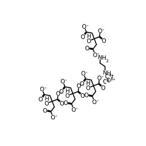 NCCN.O=C([O-])CC(O)(CC(=O)[O-])C(=O)[O-].O=C([O-])CC(O)(CC(=O)[O-])C(=O)[O-].O=C([O-])CC(O)(CC(=O)[O-])C(=O)[O-].O=C([O-])CC(O)(CC(=O)[O-])C(=O)[O-].[C+4].[C+4].[C+4]